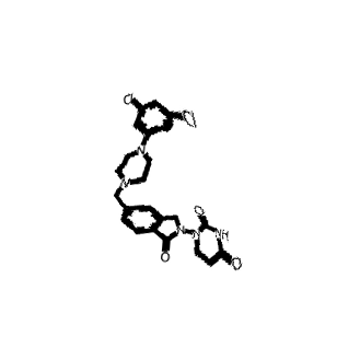 O=C1CCN(N2Cc3cc(CN4CCN(c5cc(Cl)cc(Cl)c5)CC4)ccc3C2=O)C(=O)N1